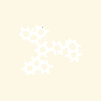 CC12C=CC=CC1C=C(c1cc(-c3cc4ccccc4c4ccccc34)nc(C3C=CC(C4NC=Cc5ccccc54)=CC3)n1)c1ccccc12